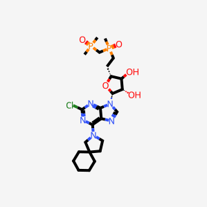 CP(C)(=O)CP(C)(=O)CC[C@H]1O[C@@H](n2cnc3c(N4CCC5(CCCCC5)C4)nc(Cl)nc32)[C@@H](O)C1O